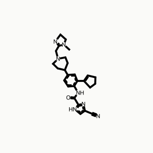 CN1CCN=C1CN1CCC(c2ccc(NC(=O)c3nc(C#N)c[nH]3)c(C3=CCCC3)c2)CC1